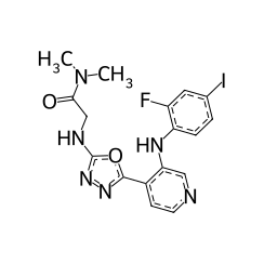 CN(C)C(=O)CNc1nnc(-c2ccncc2Nc2ccc(I)cc2F)o1